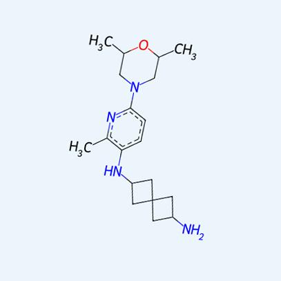 Cc1nc(N2CC(C)OC(C)C2)ccc1NC1CC2(CC(N)C2)C1